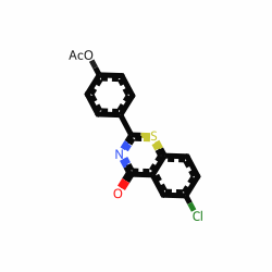 CC(=O)Oc1ccc(-c2nc(=O)c3cc(Cl)ccc3s2)cc1